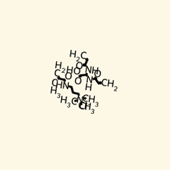 C=C(C)C(=O)NCCC[N+](C)(C)C.C=CC(=O)NC(NC(=O)C=C)C(=O)O.[Cl-]